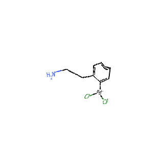 NCCc1cccc[c]1[Pd-]([Cl])[Cl]